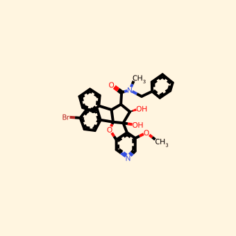 COc1cncc2c1C1(O)[C@H](O)C(C(=O)N(C)Cc3ccccc3)C(c3ccccc3)C1(c1ccc(Br)cc1)O2